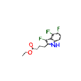 CCOC(=O)CCCc1[nH]c2ccc(F)c(F)c2c1F